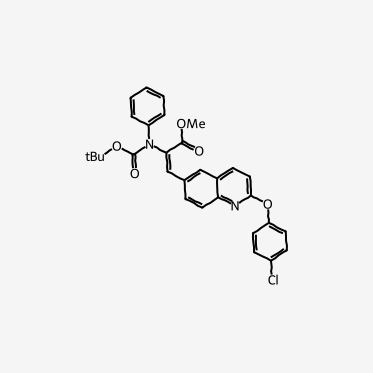 COC(=O)C(=Cc1ccc2nc(Oc3ccc(Cl)cc3)ccc2c1)N(C(=O)OC(C)(C)C)c1ccccc1